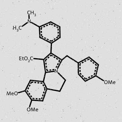 CCOC(=O)c1c(-c2cccc(N(C)C)c2)c(Cc2ccc(OC)cc2)n2c1-c1cc(OC)c(OC)cc1CC2